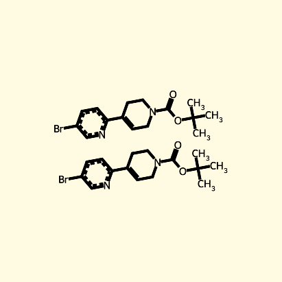 CC(C)(C)OC(=O)N1CC=C(c2ccc(Br)cn2)CC1.CC(C)(C)OC(=O)N1CC=C(c2ccc(Br)cn2)CC1